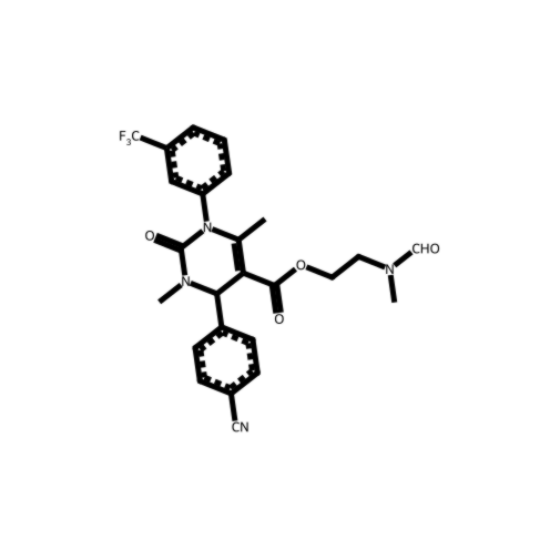 CC1=C(C(=O)OCCN(C)C=O)C(c2ccc(C#N)cc2)N(C)C(=O)N1c1cccc(C(F)(F)F)c1